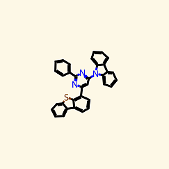 c1ccc(-c2nc(-c3cccc4c3sc3ccccc34)cc(-n3c4ccccc4c4ccccc43)n2)cc1